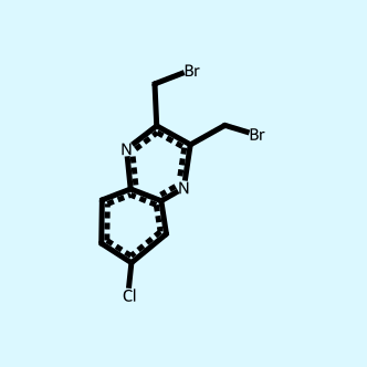 Clc1ccc2nc(CBr)c(CBr)nc2c1